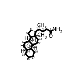 C[C@H](CCC(N)=O)[C@H]1CC[C@H]2[C@@H]3CC[C@@H]4CCCC[C@]4(C)[C@H]3CC[C@]12C